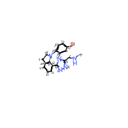 CNCc1nnc2n1-c1cc(Br)ccc1N1CCc3cccc-2c31